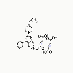 CCN1CCN(c2cc(-c3ccccc3)c3ccccc3n2)CC1.O=C(O)/C=C/C(=O)O.O=C(O)/C=C/C(=O)O